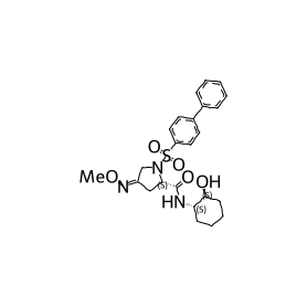 CON=C1C[C@@H](C(=O)N[C@H]2CCCC[C@@H]2O)N(S(=O)(=O)c2ccc(-c3ccccc3)cc2)C1